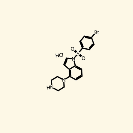 Cl.O=S(=O)(c1ccc(Br)cc1)n1ccc2c(N3CCNCC3)cccc21